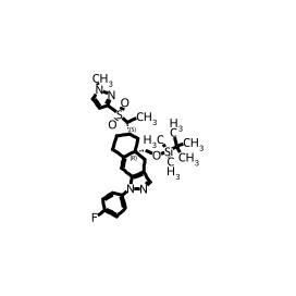 CC([C@H]1CCC2=Cc3c(cnn3-c3ccc(F)cc3)C[C@]2(CO[Si](C)(C)C(C)(C)C)C1)S(=O)(=O)c1ccn(C)n1